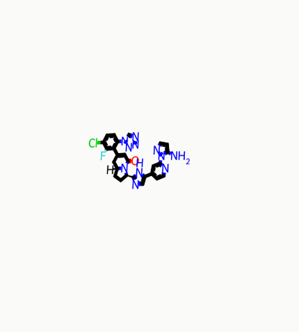 Nc1ccnn1-c1cc(-c2cnc([C@H]3CC[C@@H]4CC(c5c(-n6cnnn6)ccc(Cl)c5F)=CC(=O)N43)[nH]2)ccn1